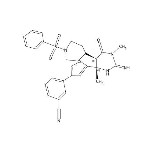 CN1C(=N)N[C@](C)(c2cc(-c3cccc(C#N)c3)cs2)[C@@H](C2CCN(S(=O)(=O)c3ccccc3)CC2)C1=O